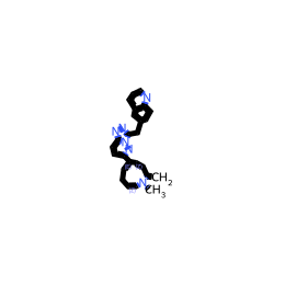 C=C1/C=C\C(c2ccc3nnc(Cc4ccc5ncccc5c4)n3n2)=C/C/C=C\N1C